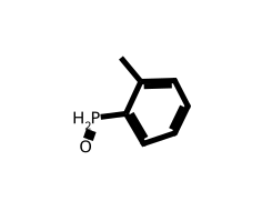 Cc1ccccc1[PH2]=O